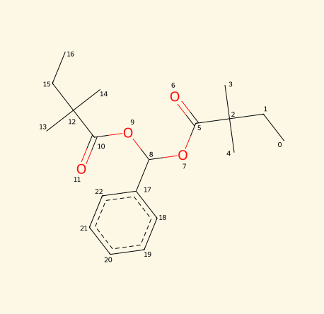 CCC(C)(C)C(=O)OC(OC(=O)C(C)(C)CC)c1ccccc1